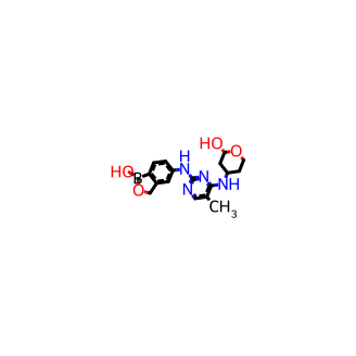 Cc1cnc(Nc2ccc3c(c2)COB3O)nc1NC1CCOC(O)C1